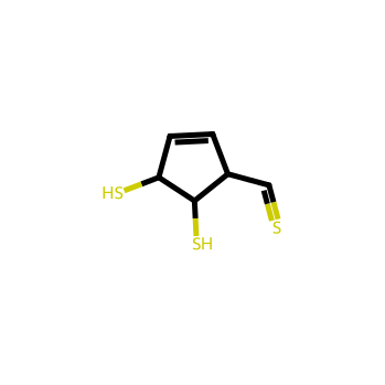 S=CC1C=CC(S)C1S